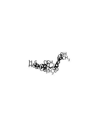 COc1cc2c(cc1OCCCOc1c(Cl)c3c(c(Cl)c1OC)CN(C(=O)CC(C)C(=O)O)C3C)CN(C(=O)C[C@H](C)C(=O)O)C2